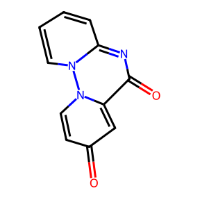 O=c1ccn2c(c1)c(=O)nc1ccccn12